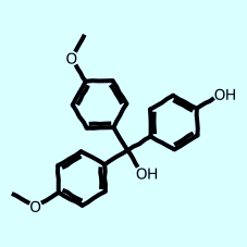 COc1ccc(C(O)(c2ccc(O)cc2)c2ccc(OC)cc2)cc1